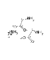 N.NCC(=O)[O-].NCC(=O)[O-].[Zn+2]